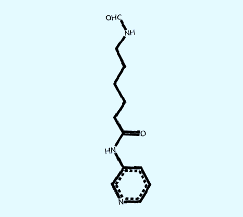 O=CNCCCCCC(=O)Nc1cccnc1